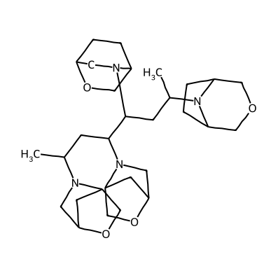 CC(CC(C(CC(C)N1C2CCC1COC2)N1CC2CCC1CO2)N1CC2CC1CO2)N1CC2CC1CO2